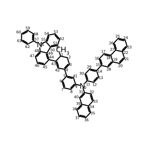 CC1CC=C(c2cccc(N(c3ccc(-c4ccc5c(ccc6ccccc65)c4)cc3)c3ccc4ccccc4c3)c2)C=C1c1cccc2c1c1ccccc1n2-c1ccccc1